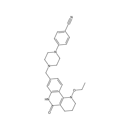 CCON1CCCc2c1c1ccc(CN3CCN(c4ccc(C#N)cc4)CC3)cc1[nH]c2=O